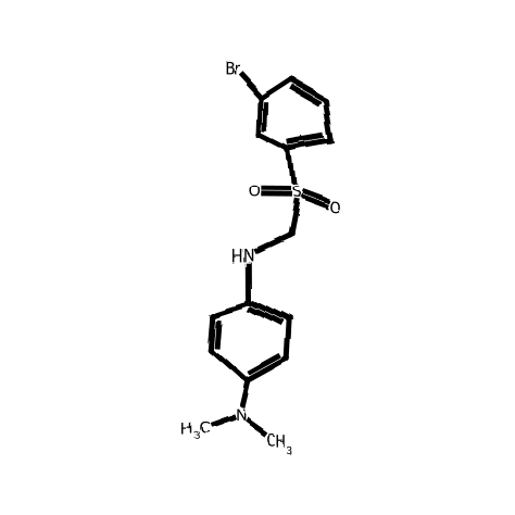 CN(C)c1ccc(NCS(=O)(=O)c2cccc(Br)c2)cc1